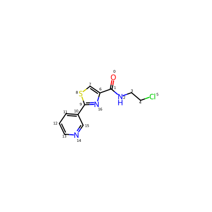 O=C(NCCCl)c1csc(-c2cccnc2)n1